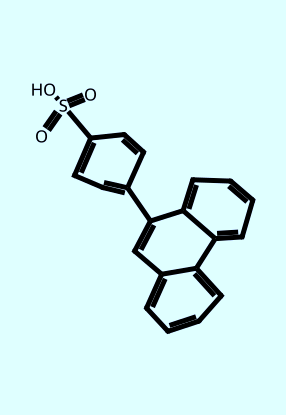 O=S(=O)(O)c1ccc(-c2cc3ccccc3c3ccccc23)cc1